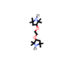 CCN1C(C)(C)CC(OCCOC2CC(C)(C)N(CC)C2(C)C)C1(C)C